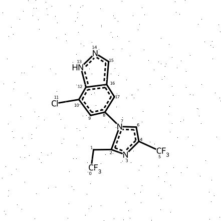 FC(F)(F)Cc1nc(C(F)(F)F)cn1-c1cc(Cl)c2[nH]ncc2c1